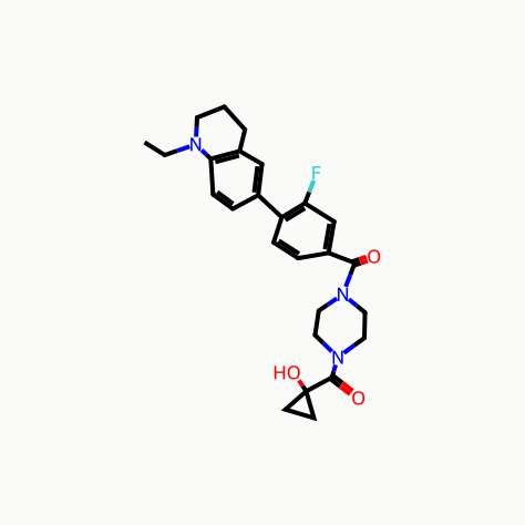 CCN1CCCc2cc(-c3ccc(C(=O)N4CCN(C(=O)C5(O)CC5)CC4)cc3F)ccc21